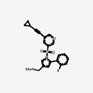 CNCc1cc(-c2ccccc2F)n(S(=O)(=O)c2cncc(C#CC3CC3)c2)c1